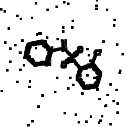 O=S(=O)(Nc1ccccn1)c1ccccc1Cl